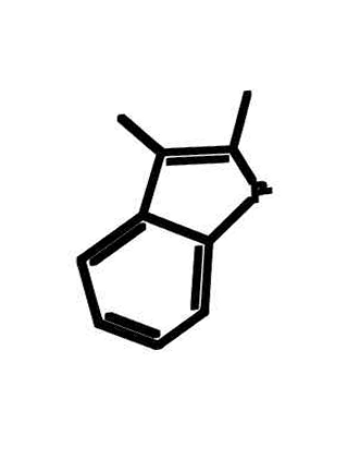 CC1=C(C)c2ccccc2[P]1